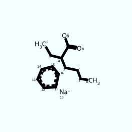 CCCCC(CC)C(=O)[O-].[Na+].c1ccccc1